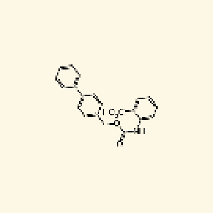 O=C(Nc1ccccc1C(=O)O)OCc1ccc(-c2ccccc2)cc1